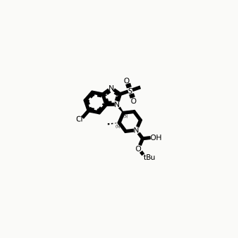 C[C@H]1CN(C(O)OC(C)(C)C)CC[C@@H]1n1c(S(C)(=O)=O)nc2ccc(Cl)cc21